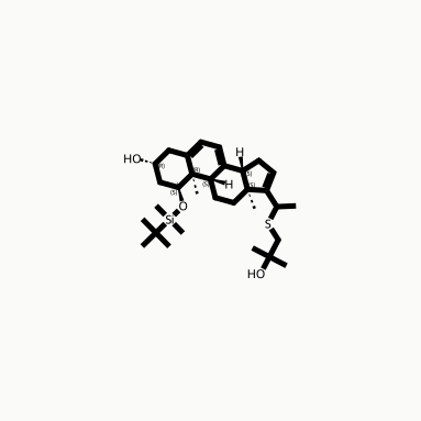 CC(SCC(C)(C)O)C1=CC[C@H]2C3=CC=C4C[C@@H](O)C[C@H](O[Si](C)(C)C(C)(C)C)[C@]4(C)[C@H]3CC[C@]12C